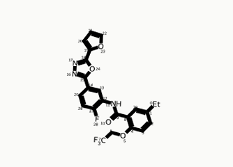 CCc1ccc(OCC(F)(F)F)c(C(=O)Nc2cc(-c3nnc(-c4ccco4)o3)ccc2F)c1